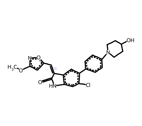 COc1cc(/C=C2\C(=O)Nc3cc(Cl)c(-c4ccc(N5CCC(O)CC5)cc4)cc32)on1